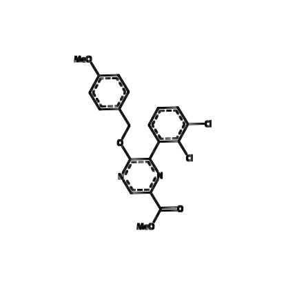 COC(=O)c1cnc(OCc2ccc(OC)cc2)c(-c2cccc(Cl)c2Cl)n1